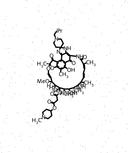 CO[C@H]1/C=C/O[C@@]2(C)Oc3c(C)c(O)c4c(c3C2=O)C2=NC3(CCN(CC(C)C)CC3)NC2=C(NC(=O)/C(C)=C\C=C\[C@H](C)[C@H](O)[C@@H](C)[C@@H](O)[C@@H](C)[C@H](OC(=O)CC(=O)OC2CCN(C)CC2)[C@@H]1C)C4=O